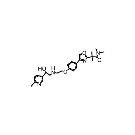 Cc1ccc([C@H](O)CNCCOc2ccc(-c3coc(C(C)(C)C(=O)N(C)C)n3)cc2)cn1